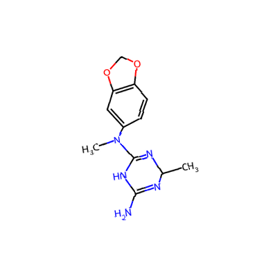 CC1N=C(N)NC(N(C)c2ccc3c(c2)OCO3)=N1